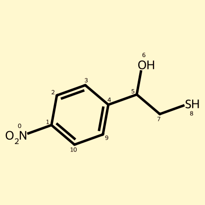 O=[N+]([O-])c1ccc(C(O)CS)cc1